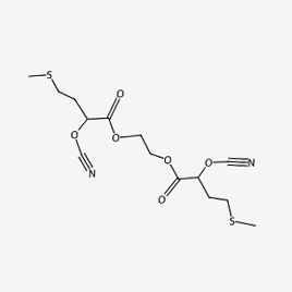 CSCCC(OC#N)C(=O)OCCOC(=O)C(CCSC)OC#N